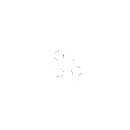 COc1ccc([C@@]2(C)CCc3cc(OC)ccc3[C@@H]2Cn2cncn2)cc1